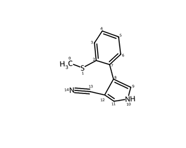 CSc1ccccc1-c1c[nH]cc1C#N